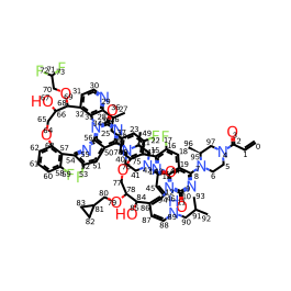 C=CC(=O)N1CCN(c2nc(=O)n3c4nc(c(F)cc24)-c2c(F)cc(CC(C)c4nccc5c4-n4c(=O)nc(N6CCN(C(=O)C=C)C[C@@H]6C)c6cc(F)c(nc64)-c4c(F)cccc4OCC(O)C5OCC(F)F)cc2OCC(OCC2CC2)C(O)C(/C=C\NCC(C)C)=C\3)[C@@H](C)C1